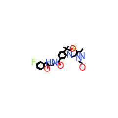 COCCn1nc(C)c(F)c1CN1C(=O)C(C)(C)c2ccc(C(=O)NCc3cc4cc(F)ccc4o3)cc21